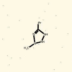 CC(C)C1=NN(C)NN1